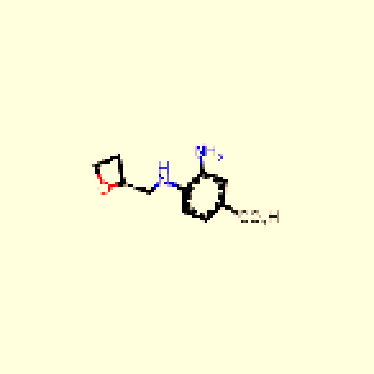 Nc1cc(C(=O)O)ccc1NC[C@@H]1CCO1